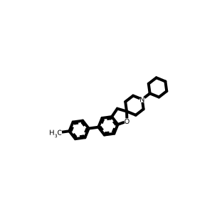 Cc1ccc(-c2ccc3c(c2)CC2(CCN(C4CCCCC4)CC2)O3)cc1